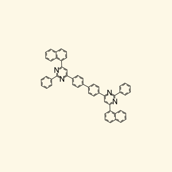 c1ccc(-c2nc(-c3ccc(-c4ccc(-c5cc(-c6cccc7ccccc67)nc(-c6ccccc6)n5)cc4)cc3)cc(-c3cccc4ccccc34)n2)cc1